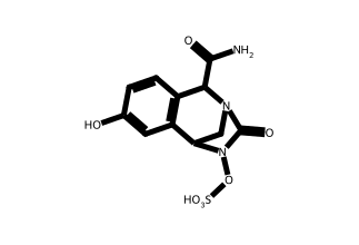 NC(=O)C1c2ccc(O)cc2C2CN1C(=O)N2OS(=O)(=O)O